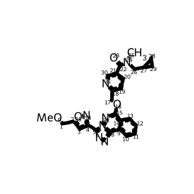 COCc1cc(-c2nnc3c4ccccc4c(OCc4ccc(C(=O)N(C)CC5CC5)cn4)nn23)no1